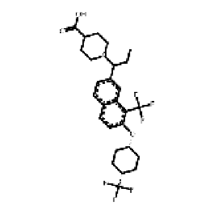 CCC(c1ccc2ccc(O[C@H]3CC[C@@H](C(F)(F)F)CC3)c(C(F)(F)F)c2c1)N1CCC(C(=O)O)CC1